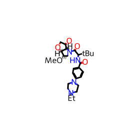 CCN1CCN(c2ccc(C(=O)NC(C(=O)N3C[C@H](OC)[C@H]4OCC(=O)[C@H]43)C(C)(C)C)cc2)CC1